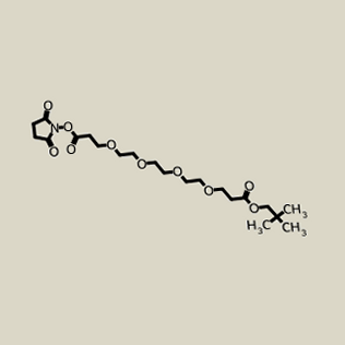 CC(C)(C)COC(=O)CCOCCOCCOCCOCCC(=O)ON1C(=O)CCC1=O